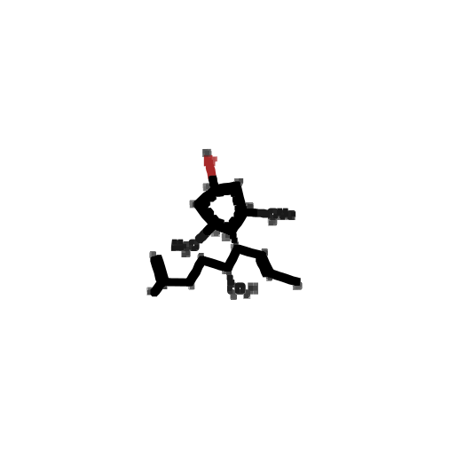 C=C(C)CC[C@@H](C(=O)O)[C@@H](/C=C/C)c1c(OC)cc(Br)cc1OC